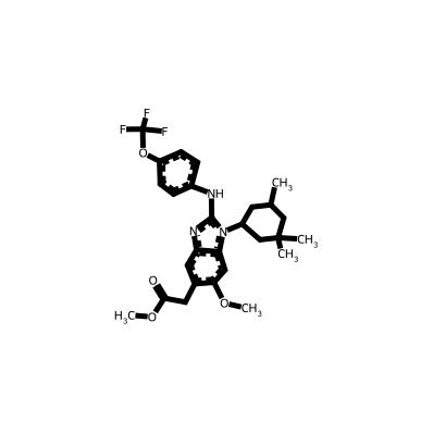 COC(=O)Cc1cc2nc(Nc3ccc(OC(F)(F)F)cc3)n(C3CC(C)CC(C)(C)C3)c2cc1OC